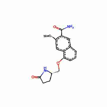 COc1cc2c(OC[C@@H]3CCC(=O)N3)cccc2[c]c1C(N)=O